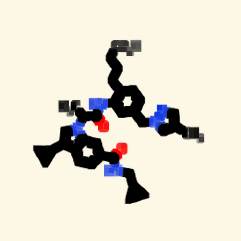 Cc1cnn(Cc2ccc(CCCC(=O)O)c(NC(=O)C(C)n3cc(C4CC4)c4ccc(C(=O)NCC5CC5)cc43)c2)c1